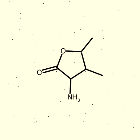 CC1OC(=O)C(N)C1C